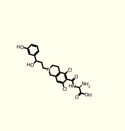 N[C@H](NC(=O)c1c(Cl)cc2c(c1Cl)CCN(CCC(O)c1cccc(O)c1)C2)C(=O)O